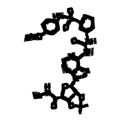 CCNC(=O)[C@H]1O[C@@H](n2cnc3c(NC(=O)Nc4cccc(S(=O)(=O)Nc5ccc(OC)cc5)c4)ncnc32)C2OC(C)(C)OC21